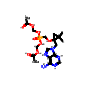 CC(C)(C)C(=O)OCOP(=O)(COC1(Cn2cnc3c(N)ncnc32)CC1(C)C)OCOC(=O)C(C)(C)C